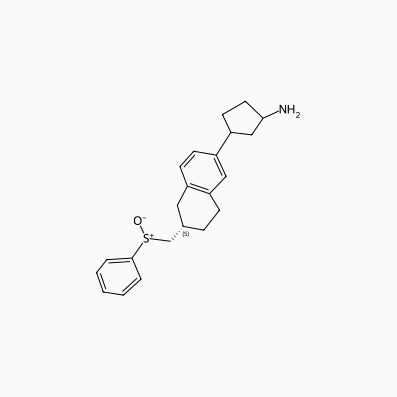 NC1CCC(c2ccc3c(c2)CC[C@H](C[S+]([O-])c2ccccc2)C3)C1